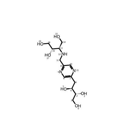 OC[C@@H](O)[C@@H](O)Cc1cnc(CN[C@H](CO)[C@H](O)CO)cn1